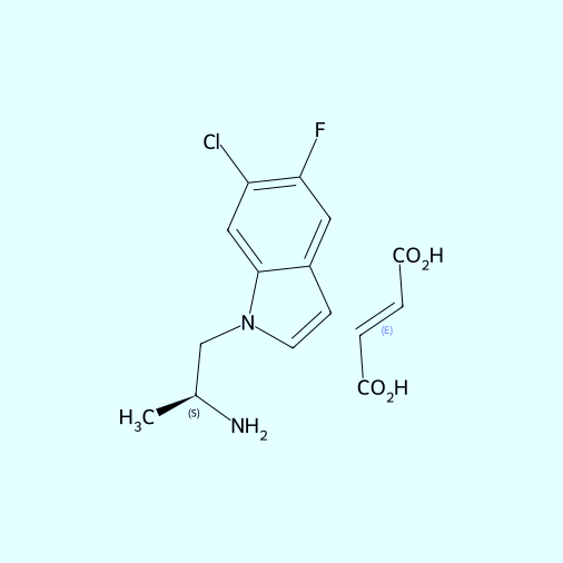 C[C@H](N)Cn1ccc2cc(F)c(Cl)cc21.O=C(O)/C=C/C(=O)O